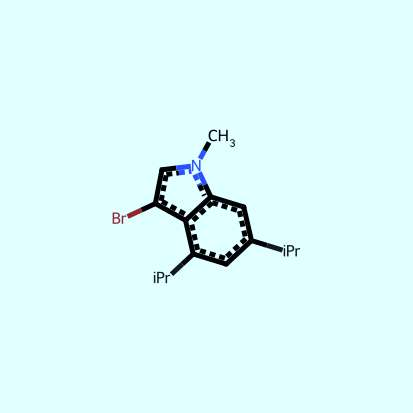 CC(C)c1cc(C(C)C)c2c(Br)cn(C)c2c1